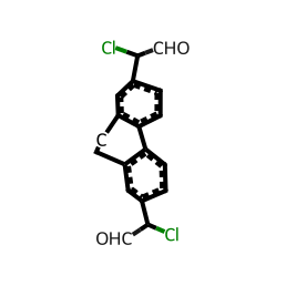 O=CC(Cl)c1ccc2c(c1)CCc1cc(C(Cl)C=O)ccc1-2